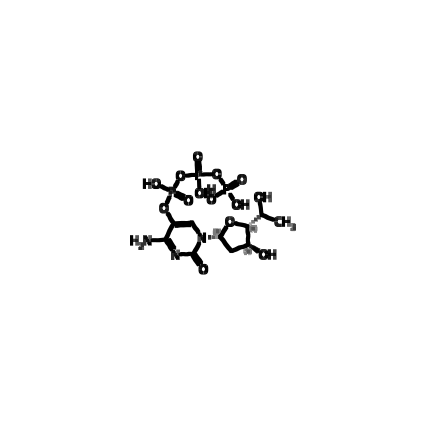 CC(O)[C@H]1O[C@@H](n2cc(OP(=O)(O)OP(=O)(O)OP(=O)(O)O)c(N)nc2=O)C[C@@H]1O